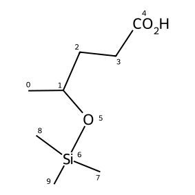 CC(CCC(=O)O)O[Si](C)(C)C